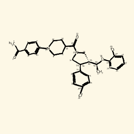 CC(=O)c1ccc(N2CCC(C(=O)N3C[C@H]([C@H](C)Oc4ncccc4Cl)[C@@H](c4ccc(Cl)cc4)C3)CC2)cc1